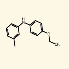 Cc1cccc(Nc2ccc(OCC(F)(F)F)cc2)c1